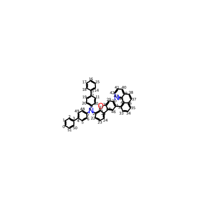 c1ccc(-c2ccc(N(c3ccc(-c4ccccc4)cc3)c3cccc4c3oc3ccc(-c5cccc6ccc7cccnc7c56)cc34)cc2)cc1